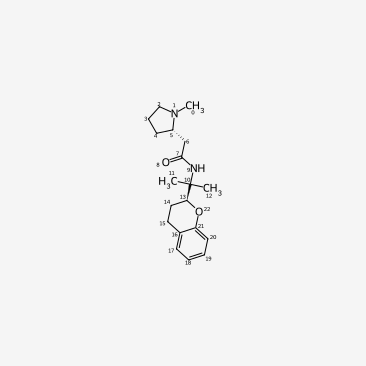 CN1CCC[C@H]1CC(=O)NC(C)(C)[C@@H]1CCc2ccccc2O1